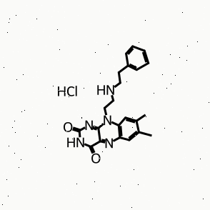 Cc1cc2nc3c(=O)[nH]c(=O)nc-3n(CCNCCc3ccccc3)c2cc1C.Cl